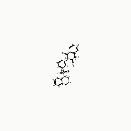 O=c1[nH]c2cnccc2c(=O)n1-c1cccc(S(=O)(=O)N2CCCc3ccccc32)c1